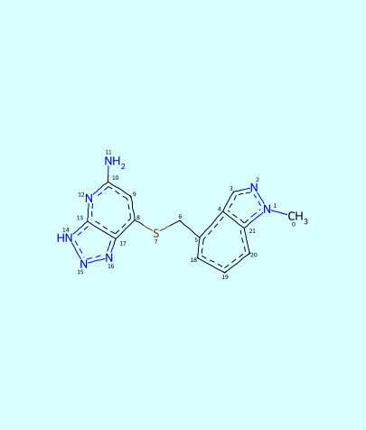 Cn1ncc2c(CSc3cc(N)nc4[nH]nnc34)cccc21